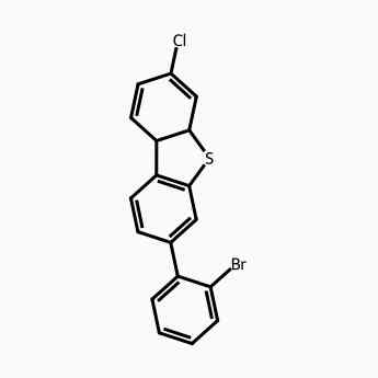 ClC1=CC2Sc3cc(-c4ccccc4Br)ccc3C2C=C1